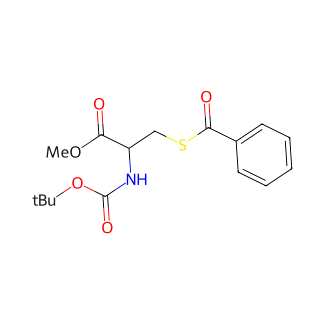 COC(=O)C(CSC(=O)c1ccccc1)NC(=O)OC(C)(C)C